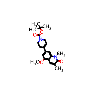 COc1cc(C2=CCN(C(=O)OC(C)(C)C)CC2)cc2c1cc(C)c(=O)n2C